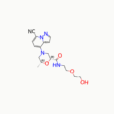 C[C@@H]1CN(c2ccc(C#N)n3nccc23)C[C@H](C(=O)NCCOCCO)O1